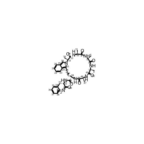 C[C@@H]1NC(=O)[C@H](C)NC(=O)[C@H](C)NC(=O)[C@H](C)n2cc3ccccc3c2SC[C@@H](C(=O)N[C@@H](Cc2ccccc2)C(N)=O)NC(=O)[C@H](C)NC1=O